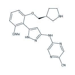 COc1cccc(OC[C@H]2CCNC2)c1-c1cc(Nc2cnc(C#N)cn2)n[nH]1